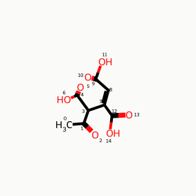 CC(=O)C(C(=O)O)/C(=C\C(=O)O)C(=O)O